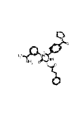 NC(N)c1cccc(NC(=O)[C@@H](CC(=O)CCc2ccccc2)NC(=O)c2ccc(C(=O)N3CCCC3)cc2)c1